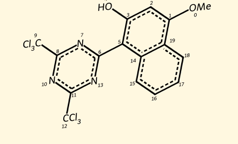 COc1cc(O)c(-c2nc(C(Cl)(Cl)Cl)nc(C(Cl)(Cl)Cl)n2)c2ccccc12